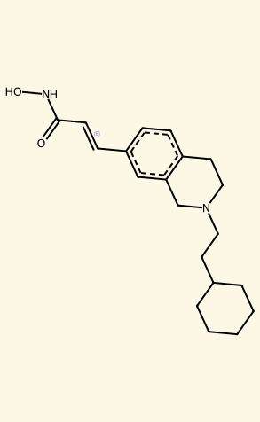 O=C(/C=C/c1ccc2c(c1)CN(CCC1CCCCC1)CC2)NO